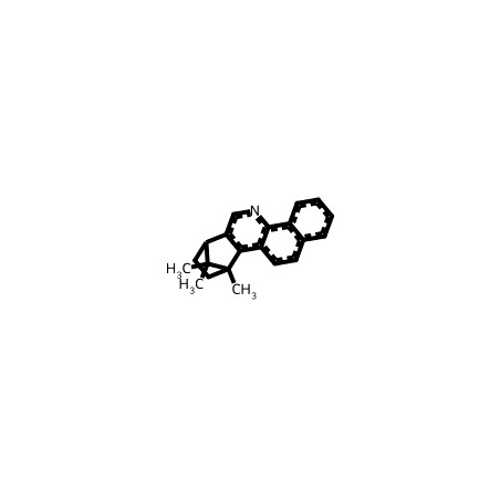 CC12CCC(c3cnc4c(ccc5ccccc54)c31)C2(C)C